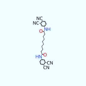 N#Cc1ccc(NC(=O)CCCCCCCCC(=O)Nc2ccc(C#N)c(C#N)c2)cc1C#N